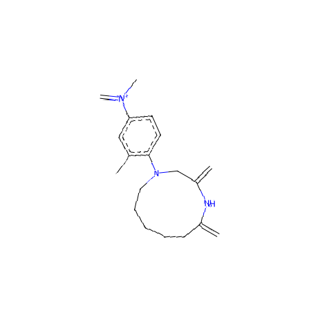 C=C1CCCCCN(c2ccc([N+](=C)C)cc2C)CC(=C)N1